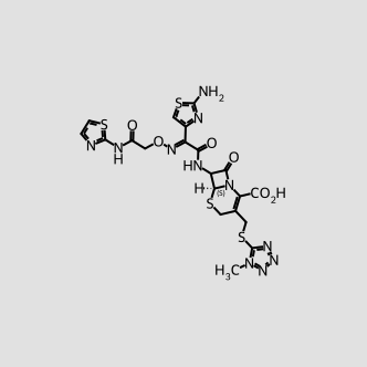 Cn1nnnc1SCC1=C(C(=O)O)N2C(=O)C(NC(=O)C(=NOCC(=O)Nc3nccs3)c3csc(N)n3)[C@@H]2SC1